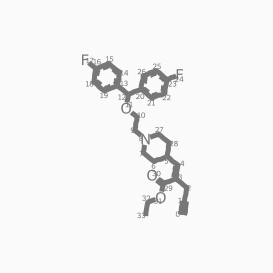 C#CCC(=CC1CCN(CCOC(c2ccc(F)cc2)c2ccc(F)cc2)CC1)C(=O)OCC